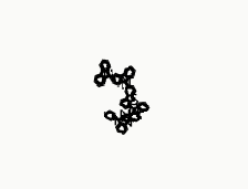 c1ccc(-n2c3ccccc3n3c4ccc5c6ccccc6n(-c6cccc7c6sc6ccc(-n8c9ccccc9c9cc(-n%10c%11ccccc%11c%11ccccc%11%10)ccc98)cc67)c5c4nc23)cc1